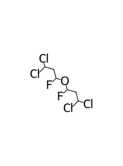 FC(CC(Cl)Cl)OC(F)CC(Cl)Cl